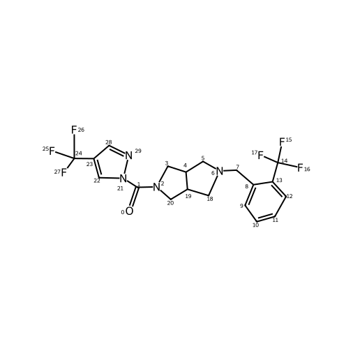 O=C(N1CC2CN(Cc3ccccc3C(F)(F)F)CC2C1)n1cc(C(F)(F)F)cn1